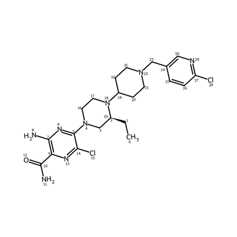 CC[C@H]1CN(c2nc(N)c(C(N)=O)nc2Cl)CCN1C1CCN(Cc2ccc(Cl)nc2)CC1